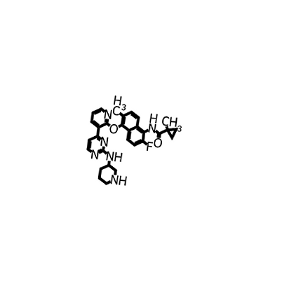 Cc1ccc2c(NC(=O)C3(C)CC3)c(F)ccc2c1Oc1ncccc1-c1ccnc(NC2CCCNC2)n1